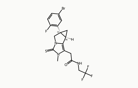 Cn1c(CC(=O)NCC(F)(F)F)c2n(c1=S)C[C@@]1(c3cc(Br)ccc3F)C[C@@H]21